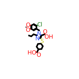 CCCc1nc(SC2CCC(C(=O)O)CC2)c(C(=O)O)n1Cc1cc2c(cc1Cl)OCO2